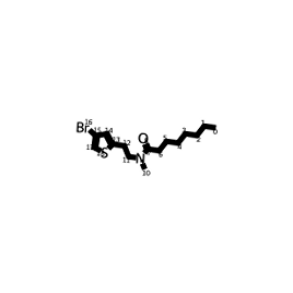 CCCCCCCC(=O)N(C)CCc1cc(Br)cs1